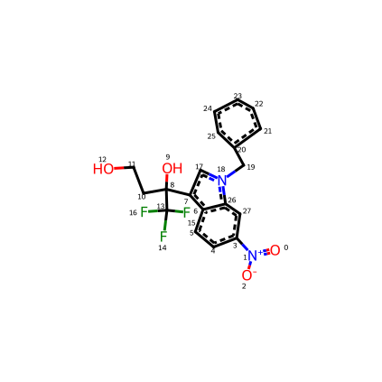 O=[N+]([O-])c1ccc2c(C(O)(CCO)C(F)(F)F)cn(Cc3ccccc3)c2c1